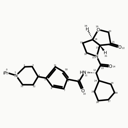 CC(C)N1CCC(c2ccc(C(=O)N[C@H](C(=O)N3CC[C@H]4OCC(=O)[C@@H]43)C3CCCCC3)cc2)CC1